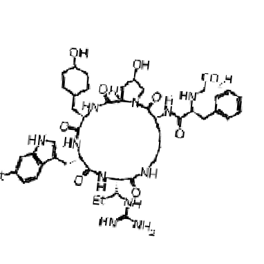 CCc1ccc2c(C[C@@H]3NC(=O)[C@@H](CC4CCC(O)CC4)NC(=O)[C@@H]4C[C@@H](O)CN4C(=O)[C@@H](NC(=O)[C@H](Cc4ccccc4)NCC(=O)O)CCCNC(=O)[C@H](C(CC)NC(=N)N)NC3=O)c[nH]c2c1